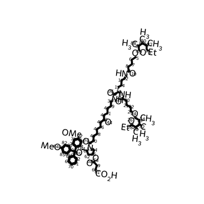 CCC1OC(OCCCCC(=O)NCCCC[C@H](NC(=O)CCCCOC2OC(CC)C(C)C(C)C2C)C(=O)NCCCCCC(=O)CCCCCCC(=O)N2C[C@H](OC(=O)CCC(=O)O)C[C@H]2COC(c2ccccc2)(c2ccc(OC)cc2)c2ccc(OC)cc2)C(C)C(C)C1C